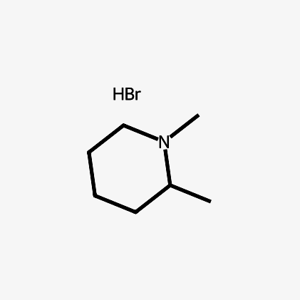 Br.CC1CCCCN1C